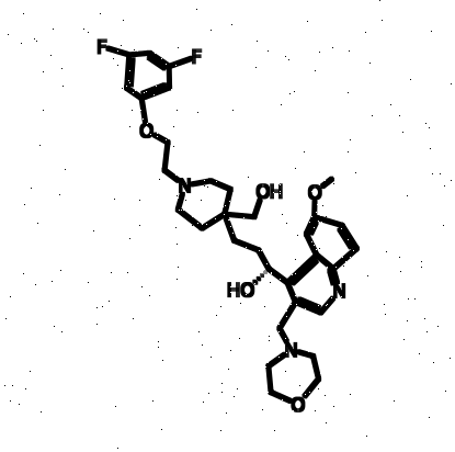 COc1ccc2ncc(CN3CCOCC3)c([C@H](O)CCC3(CO)CCN(CCOc4cc(F)cc(F)c4)CC3)c2c1